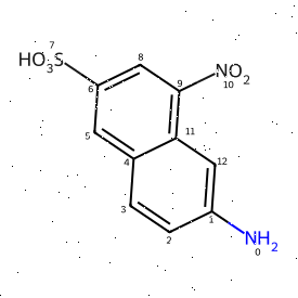 Nc1ccc2cc(S(=O)(=O)O)cc([N+](=O)[O-])c2c1